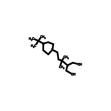 CC(C)(C)N1CCN(CCC(C)(C)N(CO)CO)CC1